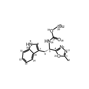 Cc1nnc([C@H](Cc2c[nH]c3ccccc23)NC(=O)OC(C)(C)C)o1